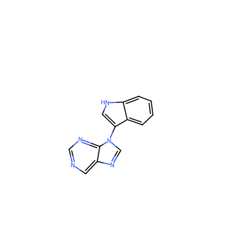 c1ccc2c(-n3cnc4cncnc43)c[nH]c2c1